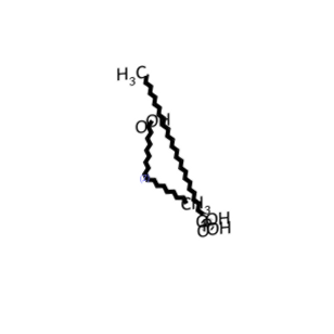 CCCCCCCC/C=C\CCCCCCCC(=O)O.CCCCCCCCCCCCCCCCCCCCCCCCCCCCOP(=O)(O)O